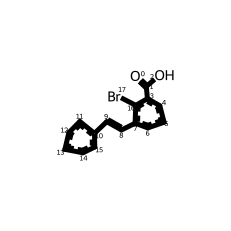 O=C(O)c1cccc(/C=C/c2ccccc2)c1Br